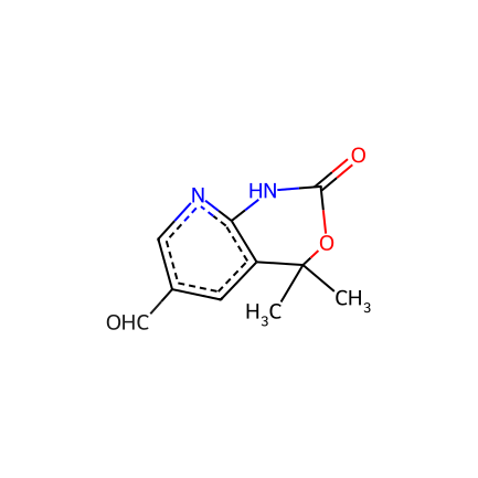 CC1(C)OC(=O)Nc2ncc(C=O)cc21